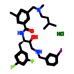 Cc1cc(CN(C)CCC(C)C)cc(C(=O)N[C@@H](Cc2cc(F)cc(F)c2)[C@@H](O)CNCc2cccc(I)c2)c1.Cl